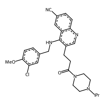 COc1ccc(CNc2c(CCC(=O)N3CCN(C(C)C)CC3)cnc3ccc(C#N)cc23)cc1Cl